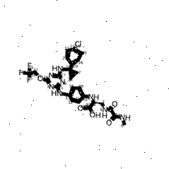 CNC(=O)C(=O)NC[C@H](Nc1ccc(Nc2nc(NC3(c4ccc(Cl)cc4)CC3)nc(OCC(F)(F)F)n2)cc1)C(=O)O